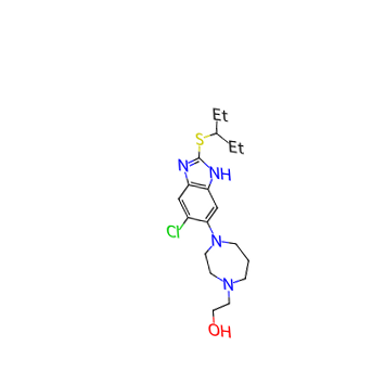 CCC(CC)Sc1nc2cc(Cl)c(N3CCCN(CCO)CC3)cc2[nH]1